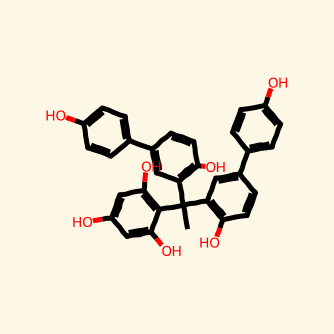 CC(c1cc(-c2ccc(O)cc2)ccc1O)(c1cc(-c2ccc(O)cc2)ccc1O)c1c(O)cc(O)cc1O